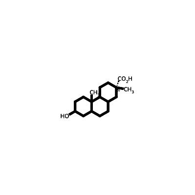 CC12CCC(O)CC1CCC1C[C@@](C)(C(=O)O)CCC12